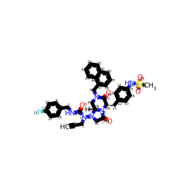 C#CCN(C(=O)NCc1ccc(F)cc1)N1CC(=O)N2[C@@H](Cc3ccc(NS(C)(=O)=O)cc3)C(=O)N(Cc3cccc4ccccc34)C[C@@H]21